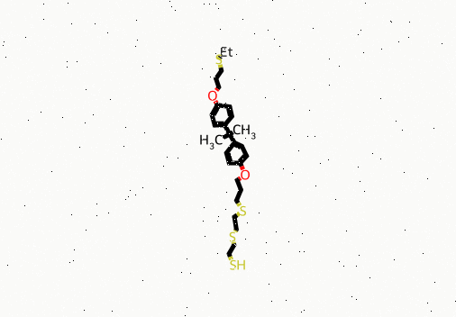 CCSCCCOc1ccc(C(C)(C)c2ccc(OCCCSCCSCCS)cc2)cc1